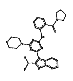 O=C(c1ccccc1Oc1nc(N2CCOCC2)nc(-n2c(C(F)F)nc3ccccc32)n1)N1CCCC1